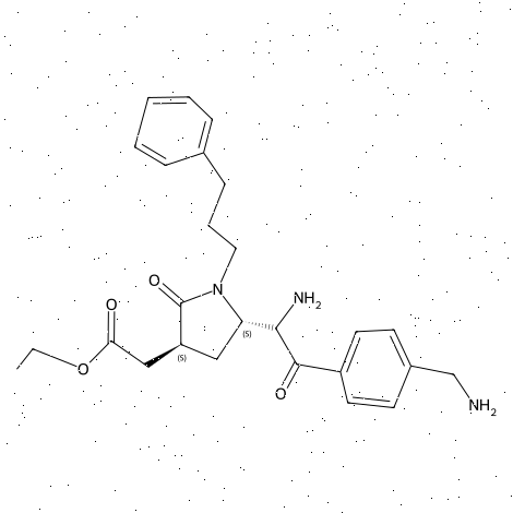 CCOC(=O)C[C@@H]1C[C@@H](C(N)C(=O)c2ccc(CN)cc2)N(CCCc2ccccc2)C1=O